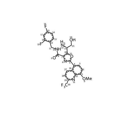 COc1ccc(-c2nc(C(=O)NCc3ccc(F)cc3F)c([C@@H](N)CO)o2)c2ccc(C(F)(F)F)nc12